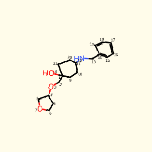 OC1(CO[C@H]2CCOC2)CCC(NCc2ccccc2)CC1